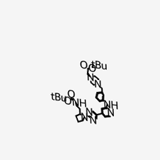 CC(C)(C)OC(=O)CN1CCN(Cc2cccc(Nc3cc(-c4cnc(N5CCCC5CCNC(=O)OC(C)(C)C)nc4)ccn3)c2)CC1